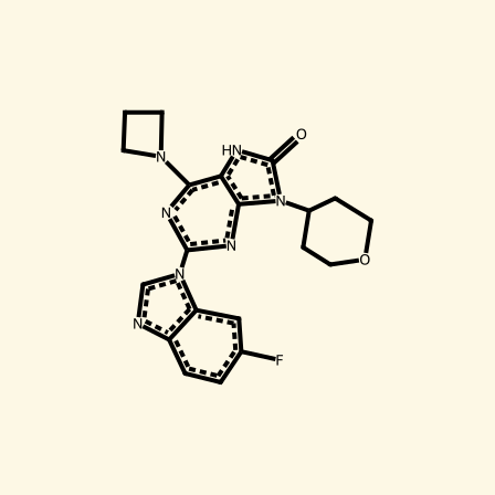 O=c1[nH]c2c(N3CCC3)nc(-n3cnc4ccc(F)cc43)nc2n1C1CCOCC1